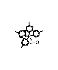 Cc1ccc(P(CC=O)(c2ccc(C)cc2)(c2ccc(C)cc2)c2ccc(C)cc2)cc1